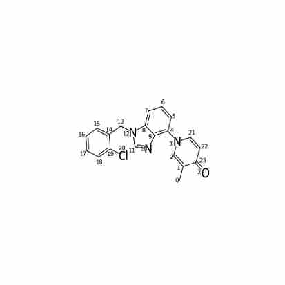 Cc1cn(-c2cccc3c2ncn3Cc2ccccc2Cl)ccc1=O